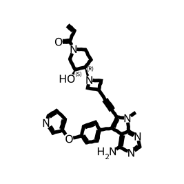 C=CC(=O)N1CC[C@@H](N2CC(C#Cc3c(-c4ccc(Oc5cccnc5)cc4)c4c(N)ncnc4n3C)C2)[C@@H](O)C1